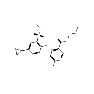 CCONC(=O)c1cnc(Cl)cc1Nc1ccc(C2CC2)cc1S(=O)(=O)NC